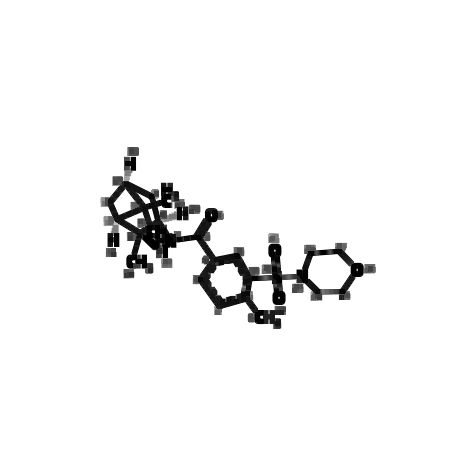 Cc1ccc(C(=O)N[C@@H]2C[C@@H]3C[C@H]([C@H]2C)C3(C)C)cc1S(=O)(=O)N1CCOCC1